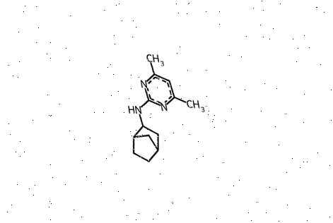 Cc1cc(C)nc(NC2CC3CCC2C3)n1